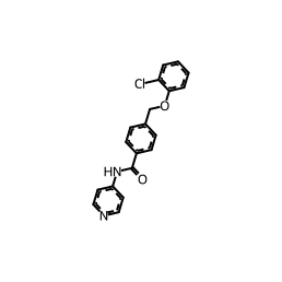 O=C(Nc1ccncc1)c1ccc(COc2ccccc2Cl)cc1